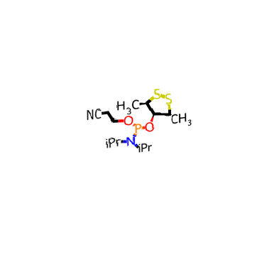 CC(C)N(C(C)C)P(OCCC#N)O[C@@H]1[C@H](C)SS[C@@H]1C